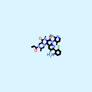 C=CC(=O)N1CC2C(=O)N(C)c3c(c4cc(F)c(-c5c(N)cccc5F)nc4n(-c4c(C)ccnc4C(C)C)c3=O)N2CC1C